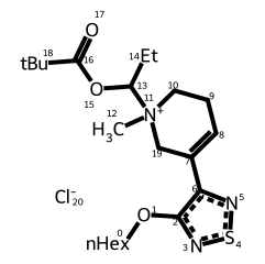 CCCCCCOc1nsnc1C1=CCC[N+](C)(C(CC)OC(=O)C(C)(C)C)C1.[Cl-]